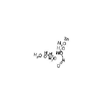 O.O.O.O.O.O.O=NO.[Zn]